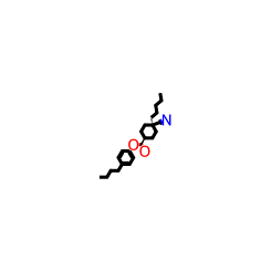 CCCCC[C@]1(C#N)CC[C@@H](C(=O)Oc2ccc(CCCC)cc2)CC1